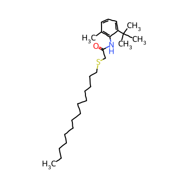 CCCCCCCCCCCCCCSCC(=O)Nc1c(C)cccc1C(C)(C)C